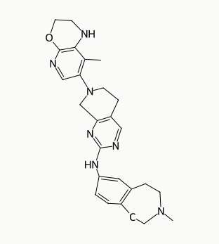 Cc1c(N2CCc3cnc(Nc4ccc5c(c4)CCN(C)CC5)nc3C2)cnc2c1NCCO2